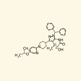 CC(C)Oc1ccc(N2CCC(c3nn(C(c4ccccc4)c4ccccc4)c4c3[C@H](C)[C@@H](O)C(=O)N4)CC2)nc1